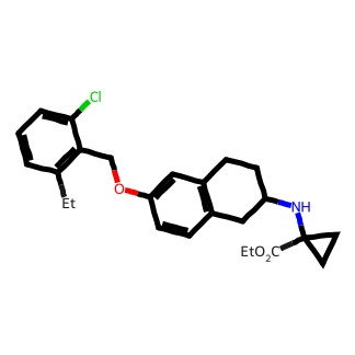 CCOC(=O)C1(NC2CCc3cc(OCc4c(Cl)cccc4CC)ccc3C2)CC1